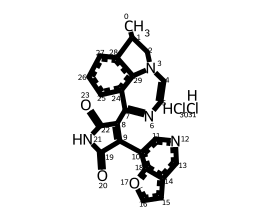 CC1CN2C=CN=C(C3=C(c4cncc5ccoc45)C(=O)NC3=O)c3cccc1c32.Cl.Cl